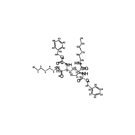 CCCCCCNC(=O)C(CSS(CC)(NC(=O)OCc1ccccc1)C(=O)NCCCCCC)NC(=O)OCc1ccccc1